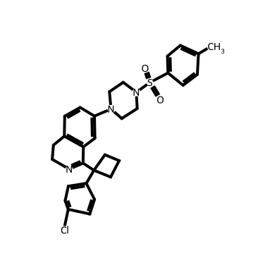 Cc1ccc(S(=O)(=O)N2CCN(c3ccc4c(c3)C(C3(c5ccc(Cl)cc5)CCC3)=NCC4)CC2)cc1